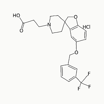 Cl.O=C(O)CCN1CCC2(CC1)COc1ccc(OCc3cccc(C(F)(F)F)c3)cc12